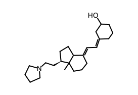 CC12CCC/C(=C\C=C3\CCCC(O)C3)C1CC[C@@H]2CCN1CCCC1